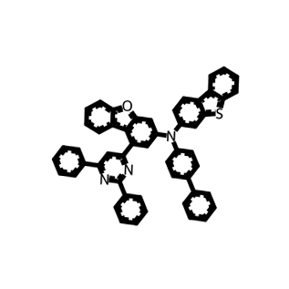 c1ccc(-c2ccc(N(c3cc(-c4cc(-c5ccccc5)nc(-c5ccccc5)n4)c4c(c3)oc3ccccc34)c3ccc4c(c3)sc3ccccc34)cc2)cc1